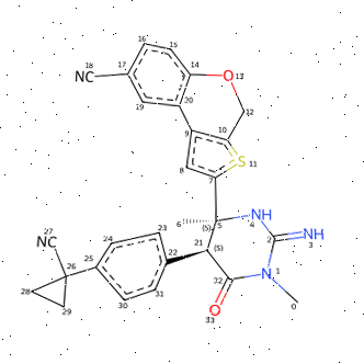 CN1C(=N)N[C@](C)(c2cc3c(s2)COc2ccc(C#N)cc2-3)[C@H](c2ccc(C3(C#N)CC3)cc2)C1=O